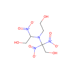 O=[N+]([O-])C(CO)N(CCO)C(CO)([N+](=O)[O-])[N+](=O)[O-]